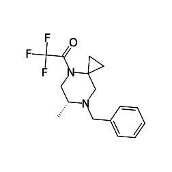 C[C@@H]1CN(C(=O)C(F)(F)F)C2(CC2)CN1Cc1ccccc1